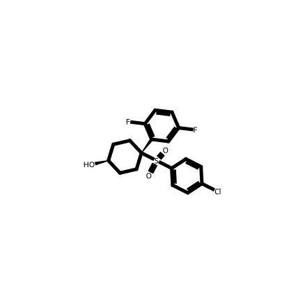 O=S(=O)(c1ccc(Cl)cc1)[C@]1(c2cc(F)ccc2F)CC[C@@H](O)CC1